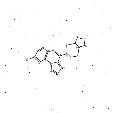 Clc1cnc2nc(N3CCN4CCCC4C3)c3nncn3c2c1